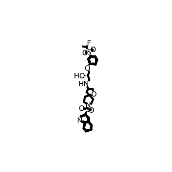 CC(F)S(=O)(=O)c1cccc(OC[C@@H](O)CNC2COC3(CCN(S(=O)(=O)c4cnc5ccccc5c4)CC3)C2)c1